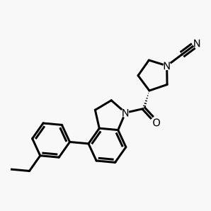 CCc1cccc(-c2cccc3c2CCN3C(=O)[C@@H]2CCN(C#N)C2)c1